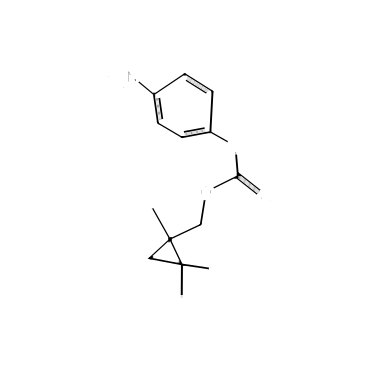 CC1(COC(=O)Oc2ccc([N+](=O)[O-])cc2)CC1(F)F